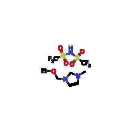 CCOCN1C=CN(C)C1.O=S(=O)(NS(=O)(=O)C(F)(F)F)C(F)(F)F